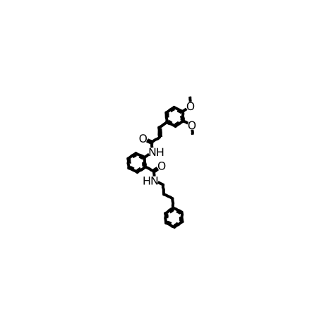 COc1ccc(C=CC(=O)Nc2ccccc2C(=O)NCCCc2ccccc2)cc1OC